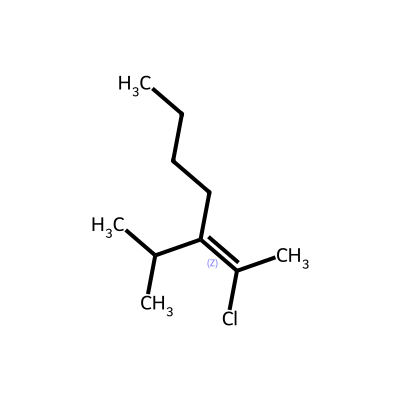 CCCC/C(=C(\C)Cl)C(C)C